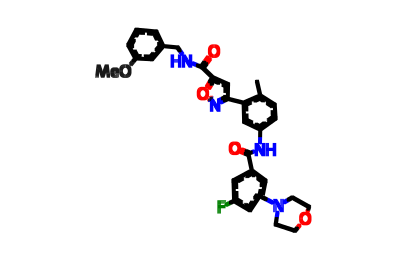 COc1cccc(CNC(=O)c2cc(-c3cc(NC(=O)c4cc(F)cc(N5CCOCC5)c4)ccc3C)no2)c1